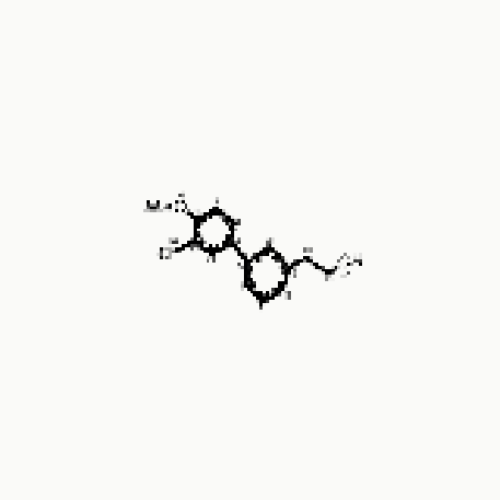 COc1ccc(-c2cccc(CCO)c2)cc1Cl